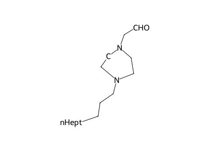 CCCCCCCCCCN1CCN(CC=O)CC1